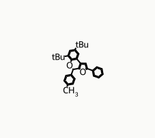 Cc1ccc(C2Oc3c(cc(C(C)(C)C)cc3C(C)(C)C)-c3cc(-c4ccccc4)oc32)cc1